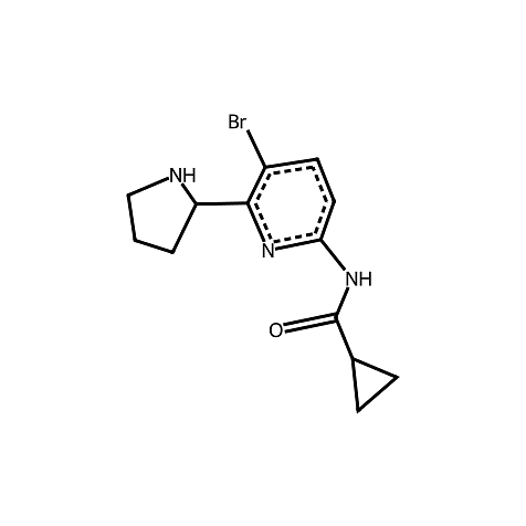 O=C(Nc1ccc(Br)c(C2CCCN2)n1)C1CC1